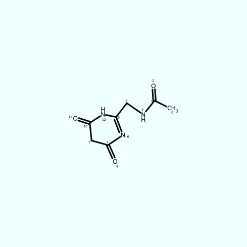 CC(=O)NCC1=NC(=O)CC(=O)N1